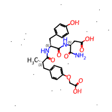 C[C@@H](Cc1ccc(OCC(=O)O)cc1)C(=O)N[C@@H](Cc1ccc(O)cc1)C(=O)N[C@@H](CC(=O)O)C(N)=O